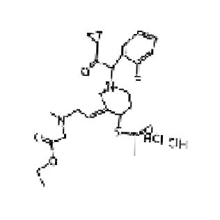 CCOC(=O)CN(C)CC=C1CN(C(C(=O)C2CC2)c2ccccc2F)CCC1SC(C)=O.Cl.Cl